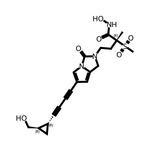 C[C@@](CCN1Cc2cc(C#CC#C[C@@H]3C[C@H]3CO)cn2C1=O)(C(=O)NO)S(C)(=O)=O